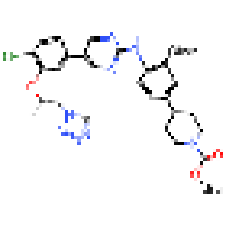 COc1cc(C2CCN(C(=O)OC(C)(C)C)CC2)ccc1Nc1ncc(-c2ccc(Cl)c(O[C@@H](C)Cn3cnnn3)c2)cn1